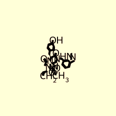 C=CCN1CC(=O)N2[C@@H](Cc3ccc(O)cc3)C(=O)N(Cc3cccc4cn[nH]c34)C[C@@H]2N1S(=O)(=O)CC